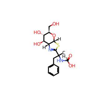 CC(Cc1ccccc1)(NC(=O)O)C1=N[C@@H]2[C@@H](O)[C@H](O)[C@@H](CO)O[C@@H]2S1